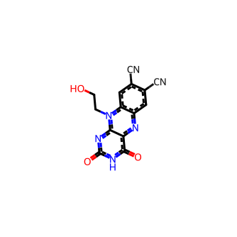 N#Cc1cc2nc3c(=O)[nH]c(=O)nc-3n(CCO)c2cc1C#N